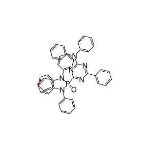 O=P(c1nc(-c2ccccc2)nc(N(c2ccccc2)c2ccccc2)n1)(N(c1ccccc1)c1ccccc1)N(c1ccccc1)c1ccccc1